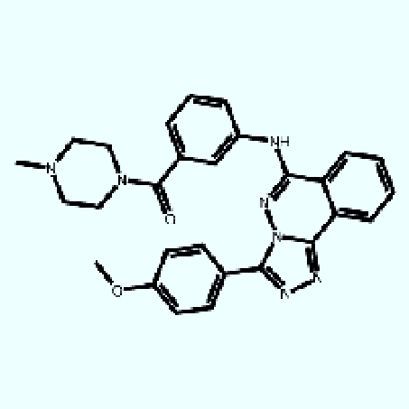 COc1ccc(-c2nnc3c4ccccc4c(Nc4cccc(C(=O)N5CCN(C)CC5)c4)nn23)cc1